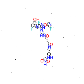 CCc1c(F)ccc2cc(O)cc(-c3ncc4c(N5CCCC(CNC(=O)CCCCCC(=O)N6CCC(c7ccc(NC8CCC(=O)NC8=O)cc7)CC6)C5)nc(OC[C@@]56CCCN5C[C@H](F)C6)nc4c3F)c12